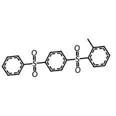 Cc1ccccc1S(=O)(=O)c1ccc(S(=O)(=O)c2ccccc2)cc1